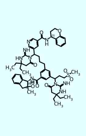 CCC1(CC)CC(=O)N(C(CCCc2cc(C(=O)N[C@@H]3c4ccccc4C[C@@]3(C)O)cc(C(CCS(C)(=O)=O)N3C(=N)NC(CC)(CC)CC3=O)c2)c2cncc(C(=O)N[C@H]3CCOc4ccccc43)c2)C(=N)N1